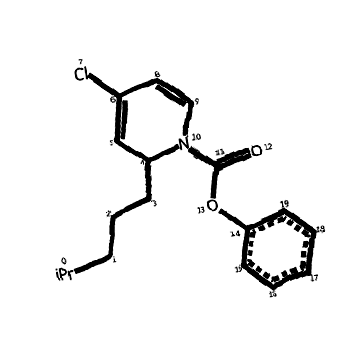 CC(C)CCCC1C=C(Cl)C=CN1C(=O)Oc1ccccc1